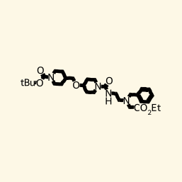 CCOC(=O)CN(CCNC(=O)N1CCC(OCC2CCN(C(=O)OC(C)(C)C)CC2)CC1)Cc1ccccc1